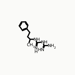 CC(CCc1ccccc1)NC(=N)NC(=N)N